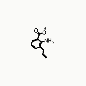 C=CCc1cccc(C(=O)OC)c1N